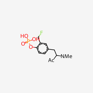 CNC(Cc1ccc(OP(=O)(O)O)c(CF)c1)C(C)=O